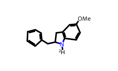 [2H]N1c2ccc(OC)cc2CC1Cc1ccccc1